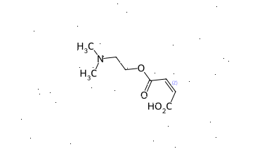 CN(C)CCOC(=O)/C=C\C(=O)O